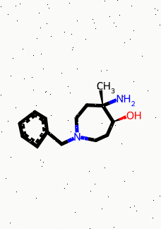 C[C@]1(N)CCN(Cc2ccccc2)CC[C@@H]1O